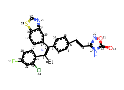 CC/C(=C(\c1ccc(C=Cc2noc(=O)[nH]2)cc1)c1ccc2scnc2c1)c1ccc(F)cc1Cl